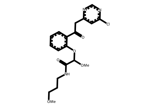 COCCCNC(=O)C(OC)Oc1ccccc1C(=O)Cc1cc(Cl)ncn1